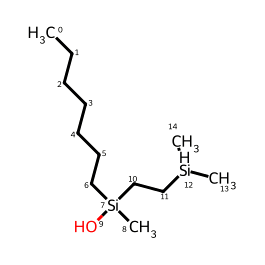 CCCCCCC[Si](C)(O)CC[SiH](C)C